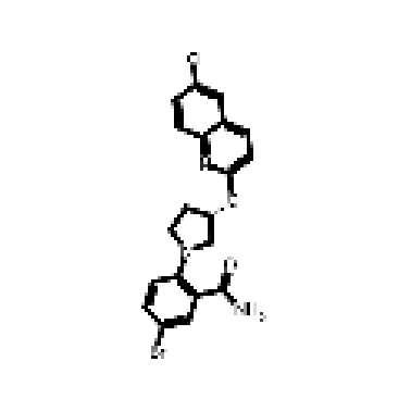 NC(=O)c1cc(Br)ccc1N1CC[C@H](Oc2ccc3cc(Cl)ccc3n2)C1